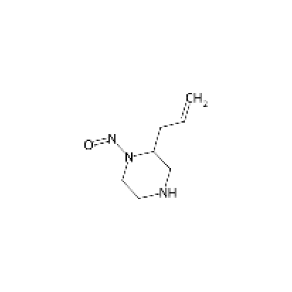 C=CCC1CNCCN1N=O